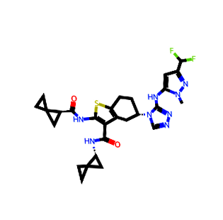 Cn1nc(C(F)F)cc1Nc1nncn1[C@H]1CCc2sc(NC(=O)[C@H]3CC34CC4)c(C(=O)N[C@@H]3CC34CC4)c2C1